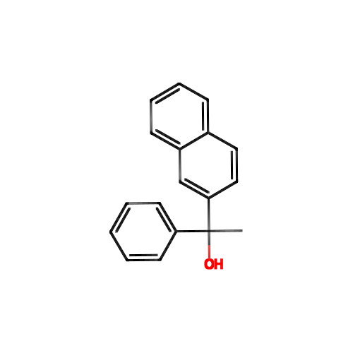 CC(O)(c1ccccc1)c1ccc2ccccc2c1